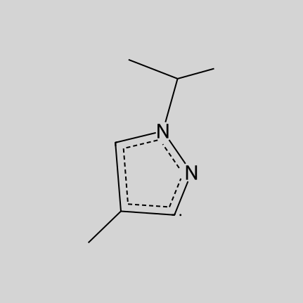 Cc1[c]nn(C(C)C)c1